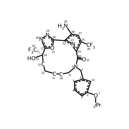 CC(C)Oc1cccc(CN2CCCCC[C@](O)(C(F)(F)F)c3nnc(o3)-c3nc(c(C(F)(F)F)cc3N)C2=O)c1